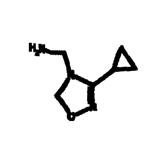 NCN1CON=C1C1CC1